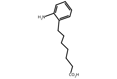 Nc1ccccc1CCCCCCC(=O)O